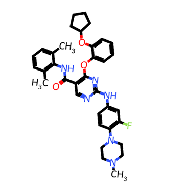 Cc1cccc(C)c1NC(=O)c1cnc(Nc2ccc(N3CCN(C)CC3)c(F)c2)nc1Oc1ccccc1OC1CCCC1